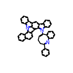 C1=C(/n2c3ccccc3c3cc4c5ccccc5n5c6c7ccccc7ccc6c(c32)c45)c2ccccc2/N=C(/c2ccccc2)CC/1